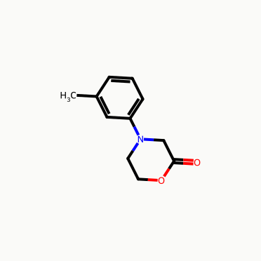 Cc1cccc(N2CCOC(=O)C2)c1